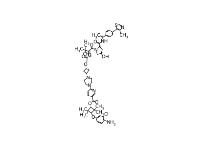 Cc1ncsc1-c1ccc([C@H](C)NC(=O)[C@H]2C[C@@H](O)CN2C(=O)[C@@H](OC(=O)CO[C@H]2C[C@@H](N3CCN(c4ccc(C(=O)O[C@H]5C(C)(C)[C@H](Oc6ccc(N)c(Cl)c6)C5(C)C)cn4)CC3)C2)C(C)(C)C)cc1